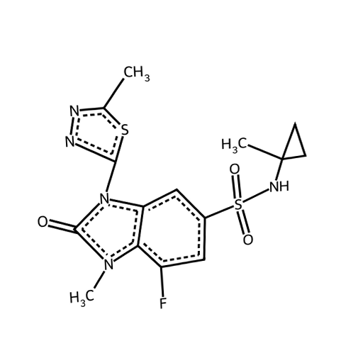 Cc1nnc(-n2c(=O)n(C)c3c(F)cc(S(=O)(=O)NC4(C)CC4)cc32)s1